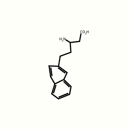 NC(CCc1ccc2ccccc2c1)CC(=O)O